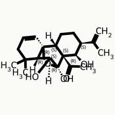 C=C(C)[C@@H]1CC[C@H]2[C@]34C=CCC(C)(C)[C@H]3[C@H](O)[C@](O)(OC4)[C@@]2(C(C)=O)[C@@H]1O